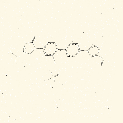 C=Cn1nnc(-c2ccc(-c3ccc(N4C[C@H](C(C)O)OC4=O)cc3F)cn2)n1.O=P(O)(O)O